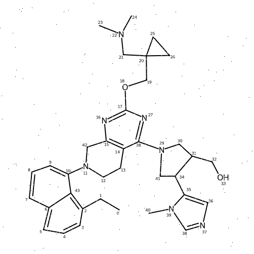 CCc1cccc2cccc(N3CCc4c(nc(OCC5(CN(C)C)CC5)nc4N4CC(CO)C(c5cncn5C)C4)C3)c12